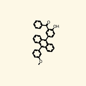 COc1cccc(-c2c3ccccc3c(-c3ccc(O)c(C(=O)c4ccccc4)c3)c3ccccc23)c1